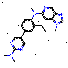 CCc1cc(-c2cnc(N(C)C)nc2)ccc1N(C)c1cc2c(cn1)ncn2C